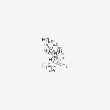 CC(C)[C@@H](C)CC[C@@H](C)[C@H]1CC[C@H]2C3=CC=C4C=C(O)C=C[C@]4(C)[C@H]3CC[C@]12C